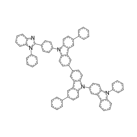 c1ccc(-c2ccc3c(c2)c2cc(-c4ccc5c(c4)c4cc(-c6ccccc6)ccc4n5-c4ccc5c(c4)c4ccccc4n5-c4ccccc4)ccc2n3-c2ccc(-c3nc4ccccc4n3-c3ccccc3)cc2)cc1